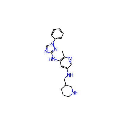 Cc1ncc(NCC2CCCNC2)cc1Nc1ncn(-c2ccccc2)n1